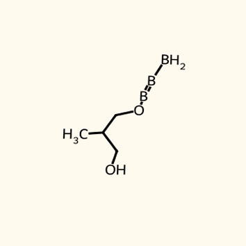 BB=BOCC(C)CO